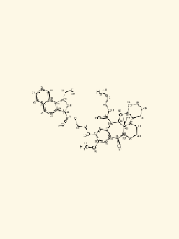 C=CCOC(=O)N1c2cc(OCCCC(=O)N3C[C@@H](CCl)c4c3ccc3ccccc43)c(OC)cc2C(=O)N2CCCC[C@H]2C1OC1CCCCO1